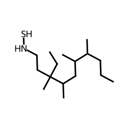 CCCC(C)C(C)CC(C)C(C)(CC)CCNS